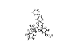 C[C@H](C(=O)N(Cc1ccc(C2CCCCC2)cc1)c1ccc(C(=O)O)c(F)c1)N(C)S(=O)(=O)c1c(F)c(F)c(F)c(F)c1F